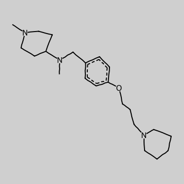 CN1CCC(N(C)Cc2ccc(OCCCN3CCCCC3)cc2)CC1